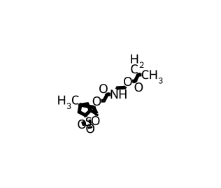 C=C(C)C(=O)OCCNC(=O)COC1C2OS(=O)(=O)C3CC1(C)CC23